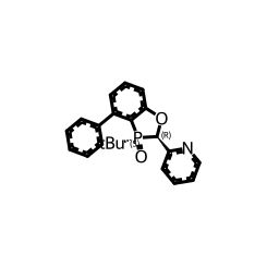 CC(C)(C)[P@]1(=O)c2c(cccc2-c2ccccc2)O[C@H]1c1ccccn1